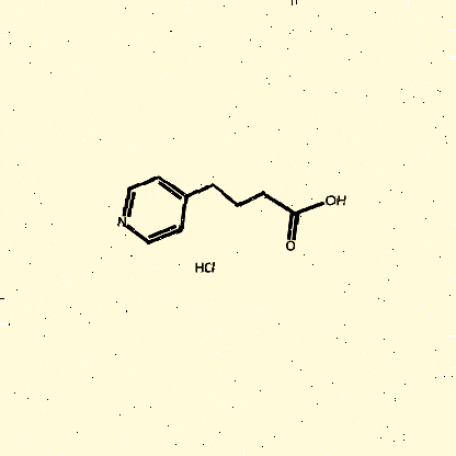 Cl.O=C(O)CCCc1ccncc1